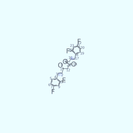 O=C(/C=C/c1ccc(F)cc1F)CS(=O)(=O)/C=C/c1ccc(F)cc1F